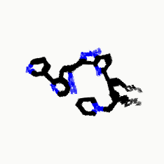 C=C/C(=C\C(=C/C)c1ccc2[nH]nc(-c3cc4c(-c5cccnc5)nccc4[nH]3)c2n1)CN1CCCCC1